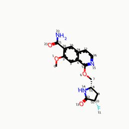 COc1cc2c(OC[C@@H]3C[C@H](F)C(=O)N3)nccc2cc1C(N)=O